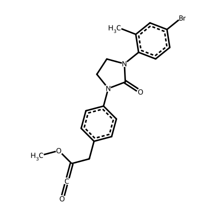 COC(=C=O)Cc1ccc(N2CCN(c3ccc(Br)cc3C)C2=O)cc1